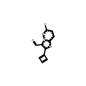 O=Cc1c(C2=CC=C2)nc2ccc(Cl)nn12